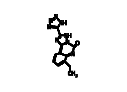 CCc1cccc2c1nc(=O)n1[nH]c(-c3nnn[nH]3)nc21